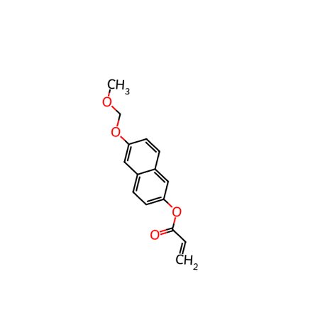 C=CC(=O)Oc1ccc2cc(OCOC)ccc2c1